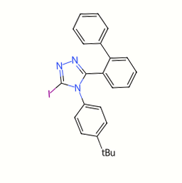 CC(C)(C)c1ccc(-n2c(I)nnc2-c2ccccc2-c2ccccc2)cc1